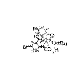 CC(C)(C)OC(=O)CC(C)(C)N(C(=O)O)c1ncc(Br)cc1-c1nc2c(F)cccc2o1